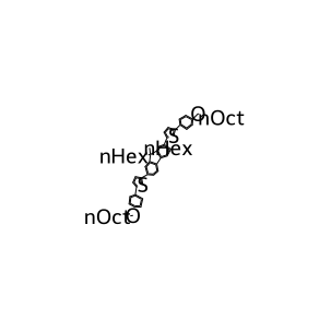 CCCCCCCCOc1ccc(-c2ccc(-c3ccc4c(c3)C(CCCCCC)(CCCCCC)c3cc(-c5ccc(-c6ccc(OCCCCCCCC)cc6)s5)ccc3-4)s2)cc1